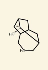 O[C@H]1C2CNCC3CC1CC3C2